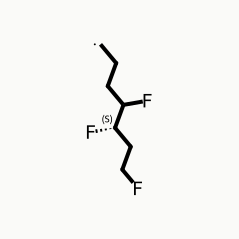 [CH2]CCC(F)[C@@H](F)CCF